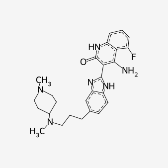 CN1CCC(N(C)CCCc2ccc3[nH]c(-c4c(N)c5c(F)cccc5[nH]c4=O)nc3c2)CC1